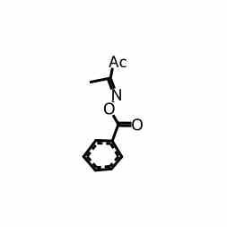 CC(=O)C(C)=NOC(=O)c1ccccc1